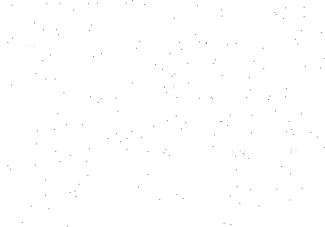 Br.CCCCCCCCCCCCCCCCCCNCC=C(C)C